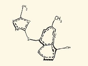 Cc1cc(Sc2nnc(C)s2)c2cccc(O)c2n1